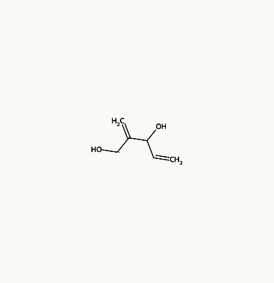 C=CC(O)C(=C)[CH]O